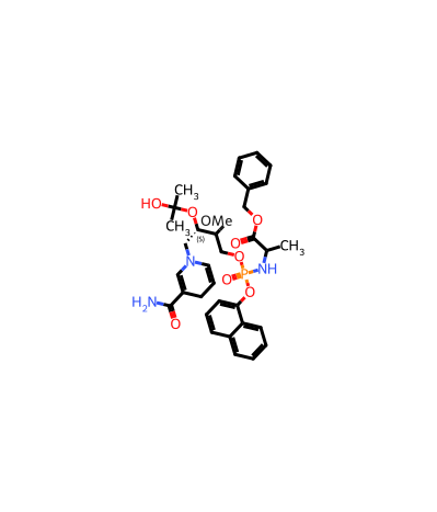 COC(COP(=O)(NC(C)C(=O)OCc1ccccc1)Oc1cccc2ccccc12)[C@H](CN1C=CCC(C(N)=O)=C1)OC(C)(C)O